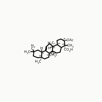 CC(=O)O[C@@H]1CC[C@@]2(C)C(CC[C@]3(C)[C@@H]2CC=C2[C@H]4CC(C)(C)CC[C@]4(C)CC[C@]23C)[C@@]1(C)C(=O)O